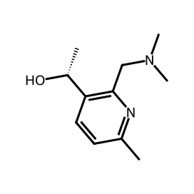 Cc1ccc([C@@H](C)O)c(CN(C)C)n1